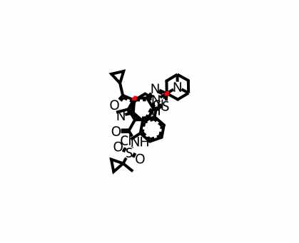 Cc1cc2nc(N3C4CC(NCc5c(-c6c(Cl)cccc6Cl)noc5C5CC5)CC3C4)sc2cc1C(=O)NS(=O)(=O)C1(C)CC1